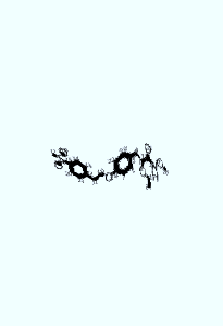 CCO[C@@H](Cc1ccc(OCCc2ccc(S(C)(=O)=O)cc2)cc1)C(=O)NOC